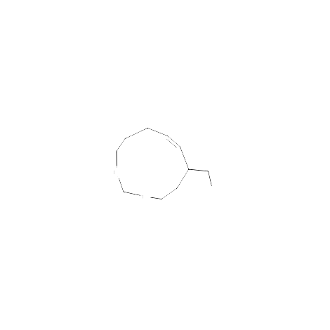 [CH2]CC1C=CCCCCCCCC1